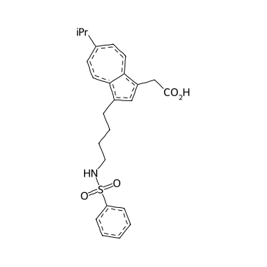 CC(C)c1ccc2c(CCCCNS(=O)(=O)c3ccccc3)cc(CC(=O)O)c-2cc1